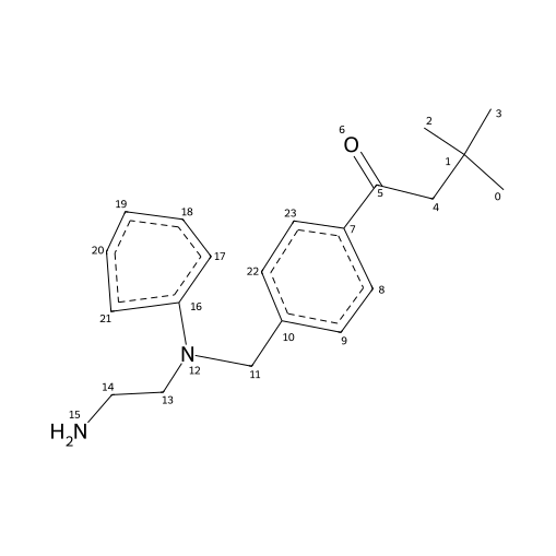 CC(C)(C)CC(=O)c1ccc(CN(CCN)c2ccccc2)cc1